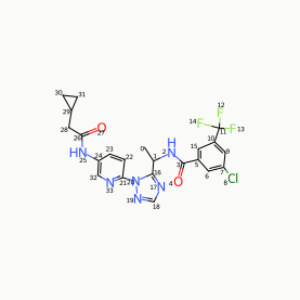 CC(NC(=O)c1cc(Cl)cc(C(F)(F)F)c1)c1ncnn1-c1ccc(NC(=O)CC2CC2)cn1